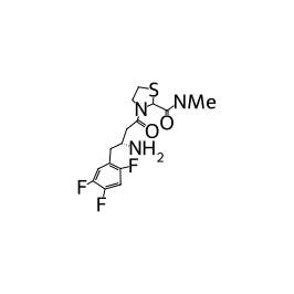 CNC(=O)C1SCCN1C(=O)C[C@H](N)Cc1cc(F)c(F)cc1F